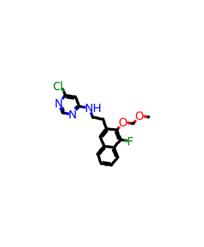 COCOc1c(CCNc2cc(Cl)ncn2)cc2ccccc2c1F